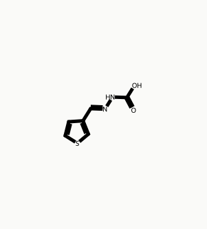 O=C(O)NN=Cc1ccsc1